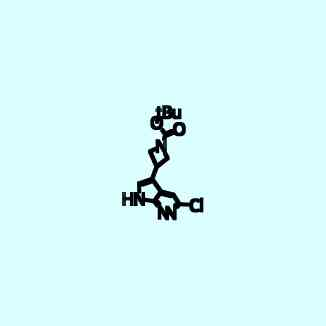 CC(C)(C)OC(=O)N1CC(c2c[nH]c3nnc(Cl)cc23)C1